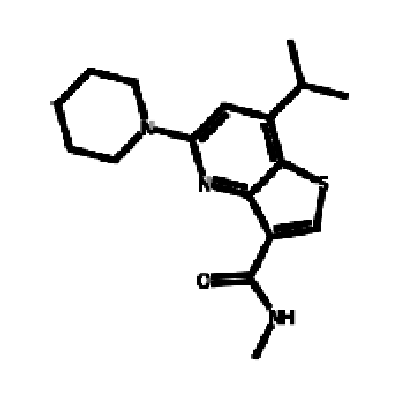 CNC(=O)c1csc2c(C(C)C)cc(N3CC[CH]CC3)nc12